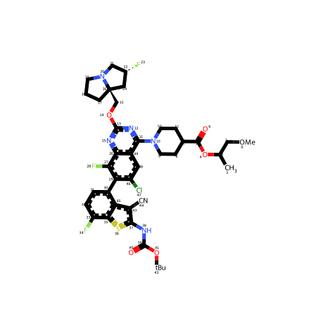 COCC(C)OC(=O)C1CCN(c2nc(OC[C@@]34CCCN3C[C@H](F)C4)nc3c(F)c(-c4ccc(F)c5sc(NC(=O)OC(C)(C)C)c(C#N)c45)c(Cl)cc23)CC1